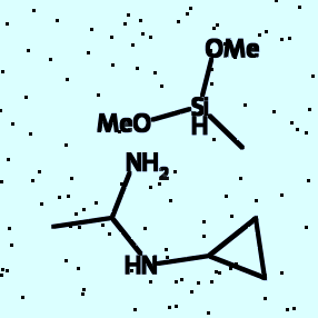 CC(N)NC1CC1.CO[SiH](C)OC